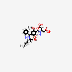 CCCC[C@]1(CC)CS(=O)(=O)c2cc(CNC(CC(=O)O)CC(=O)O)c(OC)cc2[C@H](c2ccccc2)N1